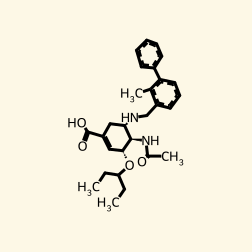 CCC(CC)O[C@@H]1C=C(C(=O)O)C[C@H](NCc2cccc(-c3ccccc3)c2C)[C@H]1NC(C)=O